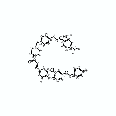 Cc1cc(C=CC(=O)N2CCN(Cc3ccc(CCOc4ccc(C(C)C)cc4)cc3)CC2)cc(Cl)c1Oc1ccc(OCc2ccc(F)cc2)cn1.Cl